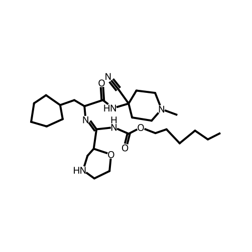 CCCCCCOC(=O)NC(=NC(CC1CCCCC1)C(=O)NC1(C#N)CCN(C)CC1)C1CNCCO1